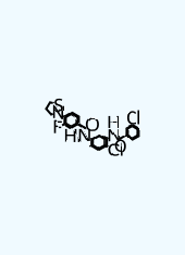 O=C(Nc1ccc(Cl)c(NC(=O)c2cccc(Cl)c2)c1)c1ccc(N2CCCS2)c(F)c1